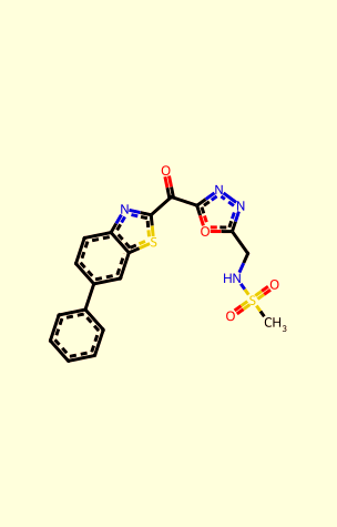 CS(=O)(=O)NCc1nnc(C(=O)c2nc3ccc(-c4ccccc4)cc3s2)o1